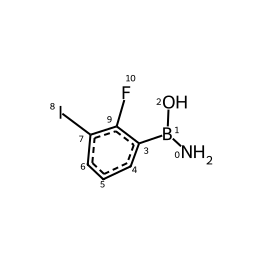 NB(O)c1cccc(I)c1F